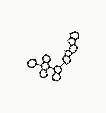 c1ccc(-c2c3ccccc3c(-c3cc(-c4ccc5c(c4)sc4c5ccc5c6ccccc6sc54)cc4ccccc34)c3ccccc23)cc1